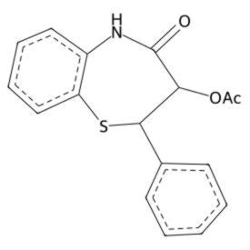 CC(=O)OC1C(=O)Nc2ccccc2SC1c1ccccc1